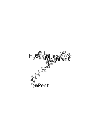 CCCCC/C=C\C/C=C\CCCCCCCCCC(CCCCCCC/C=C\C/C=C\CCCCC)OC(=O)N(CCCCCC)CCCN(C)C